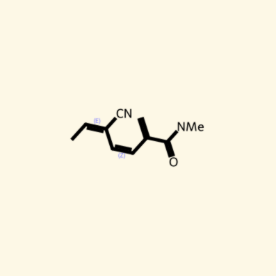 C=C(/C=C\C(C#N)=C/C)C(=O)NC